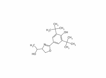 CC(O)C1COC(c2cc(C(C)(C)C)c(O)c(C(C)(C)C)c2)=N1